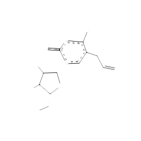 C=CCc1cn([C@@H]2O[C@H](CO)C(O)C2O)c(=O)nc1N